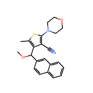 COC(c1ccc2ccccc2c1)c1c(C)sc(N2CCOCC2)c1C#N